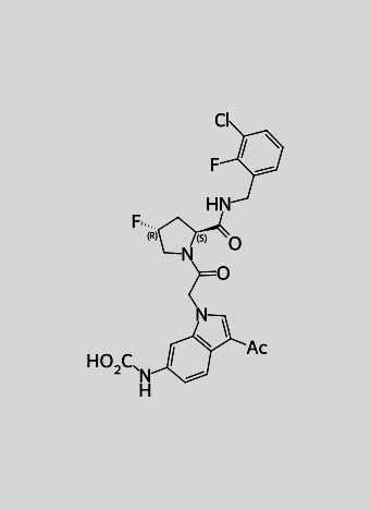 CC(=O)c1cn(CC(=O)N2C[C@H](F)C[C@H]2C(=O)NCc2cccc(Cl)c2F)c2cc(NC(=O)O)ccc12